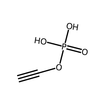 C#COP(=O)(O)O